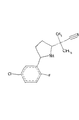 CC(C)(C#N)C1CCC(c2cc(Cl)ccc2F)N1